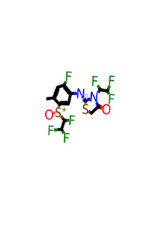 Cc1cc(F)c(/N=C2\SCC(=O)N2C(F)C(F)F)cc1[S+]([O-])C(F)C(F)F